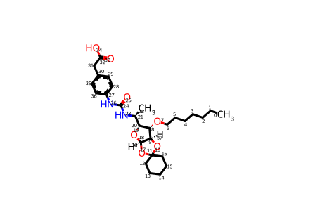 CCCCCCCO[C@@H]1[C@H]2OC3(CCCCC3)O[C@H]2O[C@@H]1[C@H](C)NC(=O)Nc1ccc(CC(=O)O)cc1